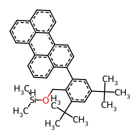 C[SiH](C)OCc1c(-c2ccc3c4cccc5cccc(c6cccc2c63)c54)cc(C(C)(C)C)cc1C(C)(C)C